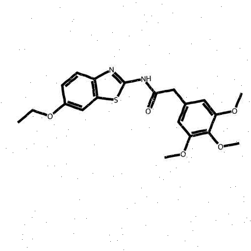 CCOc1ccc2nc(NC(=O)Cc3cc(OC)c(OC)c(OC)c3)sc2c1